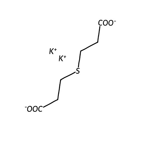 O=C([O-])CCSCCC(=O)[O-].[K+].[K+]